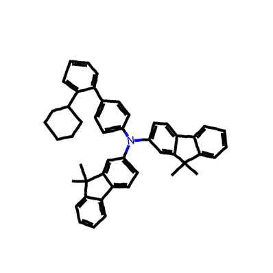 CC1(C)c2ccccc2-c2ccc(N(c3ccc(-c4ccccc4C4CCCCC4)cc3)c3ccc4c(c3)C(C)(C)c3ccccc3-4)cc21